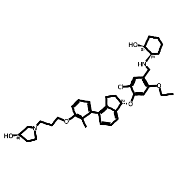 CCOc1cc(O[C@H]2CCc3c(-c4cccc(OCCCN5CC[C@@H](O)C5)c4C)cccc32)c(Cl)cc1CN[C@@H]1CCCC[C@@H]1O